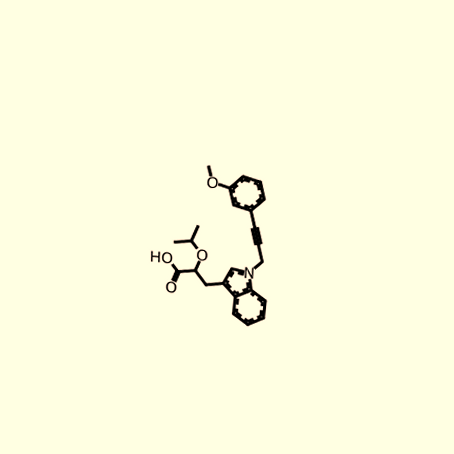 COc1cccc(C#CCn2cc(CC(OC(C)C)C(=O)O)c3ccccc32)c1